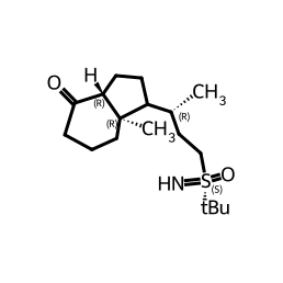 C[C@H](CC[S@](=N)(=O)C(C)(C)C)C1CC[C@H]2C(=O)CCC[C@]12C